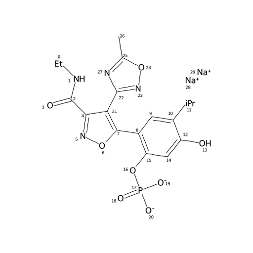 CCNC(=O)c1noc(-c2cc(C(C)C)c(O)cc2OP(=O)([O-])[O-])c1-c1noc(C)n1.[Na+].[Na+]